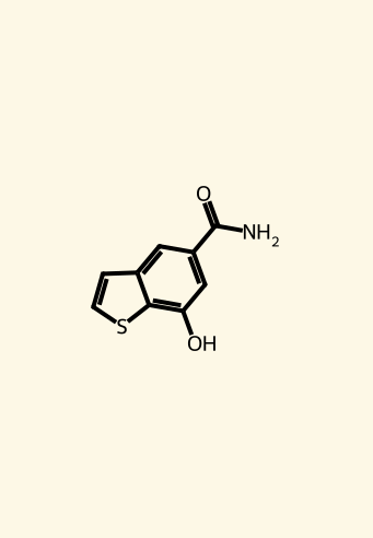 NC(=O)c1cc(O)c2sccc2c1